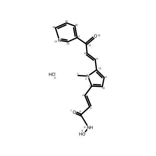 Cl.Cn1c(/C=C/C(=O)NO)ccc1/C=C/C(=O)c1cccnc1